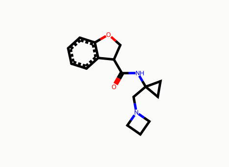 O=C(NC1(CN2CCC2)CC1)C1COc2ccccc21